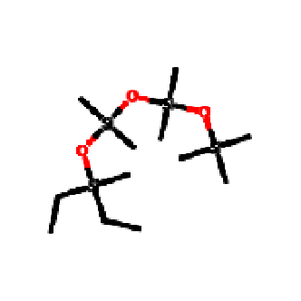 CC[Si](C)(CC)O[Si](C)(C)O[Si](C)(C)O[Si](C)(C)C